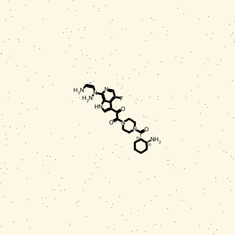 N/C=C\N(N)c1ncc(F)c2c(C(=O)C(=O)N3CCN(C(=O)[C@H]4CCCC[C@@H]4N)CC3)c[nH]c12